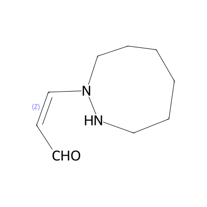 O=C/C=C\N1CCCCCCN1